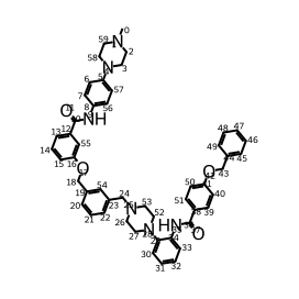 CN1CCN(c2ccc(NC(=O)c3cccc(OCc4cccc(CN5CCN(c6ccccc6NC(=O)c6ccc(OCc7ccccc7)cc6)CC5)c4)c3)cc2)CC1